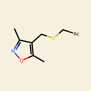 CC(=O)CSCc1c(C)noc1C